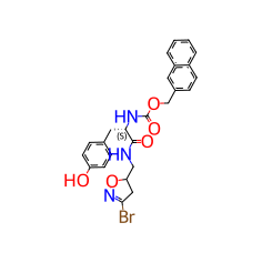 O=C(N[C@@H](Cc1ccc(O)cc1)C(=O)NCC1CC(Br)=NO1)OCc1ccc2ccccc2c1